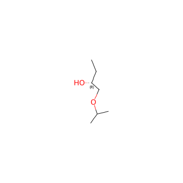 CC[C@@H](O)COC(C)C